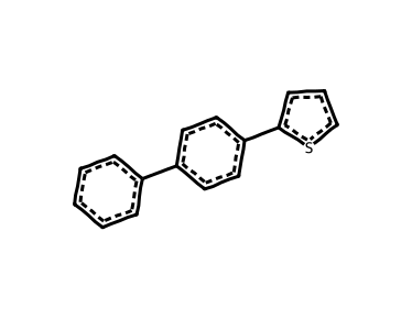 c1ccc(-c2ccc(-c3cccs3)cc2)cc1